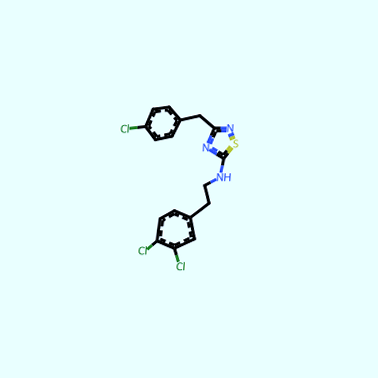 Clc1ccc(Cc2nsc(NCCc3ccc(Cl)c(Cl)c3)n2)cc1